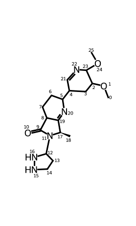 COC1CC(C2CCC3C(=O)N(C4CCNN4)[C@H](C)C3=N2)C=NC1OC